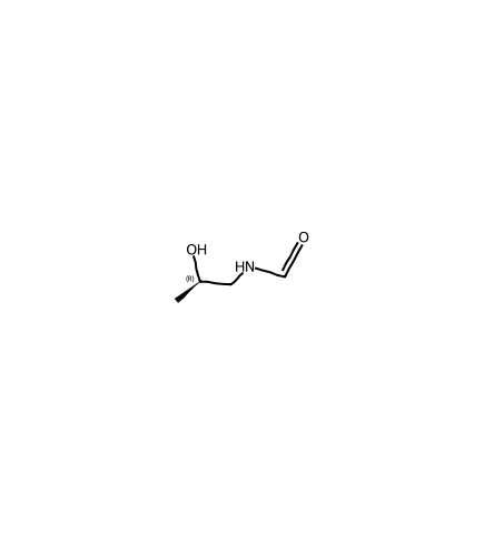 C[C@@H](O)CNC=O